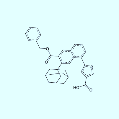 O=C(O)c1csc(-c2cccc3cc(C(=O)OCc4ccccc4)c(C45CC6CC(CC(C6)C4)C5)cc23)c1